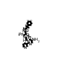 CC(C)[C@H](NC(=O)Cn1c(-c2cccnc2)ncc(N)c1=O)C(=O)c1nnc(C(C)(C)c2ccccc2)o1